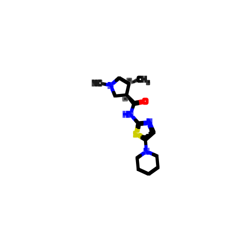 C[C@H]1CN(C#N)C[C@@H]1C(=O)Nc1ncc(N2CCCCC2)s1